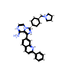 Nc1nccn2c1c(-c1ccc3ccc(-c4ccccc4)nc3c1)nc2[C@H]1CC[C@H](CN2CCCC2)CC1